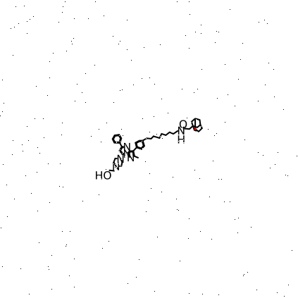 Cc1nn2c(N3CCN(CCO)CC3)cc(-c3ccccc3)nc2c1-c1ccc(CCCCCCCCCNC(=O)CC23CC4CC(CC(C4)C2)C3)cc1